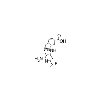 CC(F)c1nc(N)nc(N[C@H]2c3cc(C(=O)O)ccc3C[C@@H]2C)n1